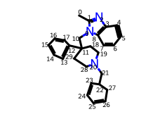 Cc1nc2c#cccc2n1CC1(c2ccccc2)CCN(CC2C=CC=CC2)CC1